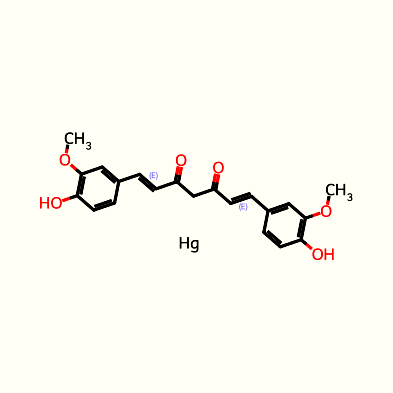 COc1cc(/C=C/C(=O)CC(=O)/C=C/c2ccc(O)c(OC)c2)ccc1O.[Hg]